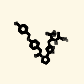 CC(=O)NC(Cc1cc(C2CCCN2C(=O)Cc2ccc(OCc3ccc(Cl)cc3)cc2)no1)C(=O)O